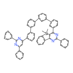 C[Si]1(C)c2ccccc2-c2nc(-c3ccccc3)nc(-c3cccc(-c4cccc(-c5cccc(-c6cccc(-c7cc(-c8ccccc8)nc(-c8ccccc8)n7)c6)c5)c4)c3)c21